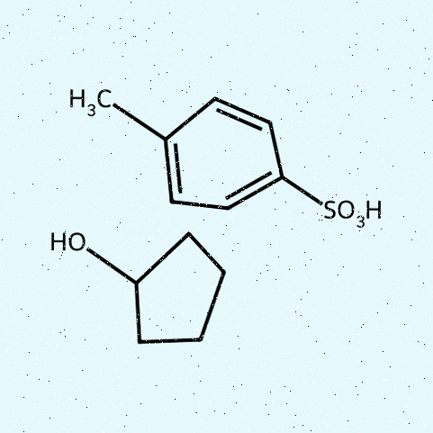 Cc1ccc(S(=O)(=O)O)cc1.OC1CCCC1